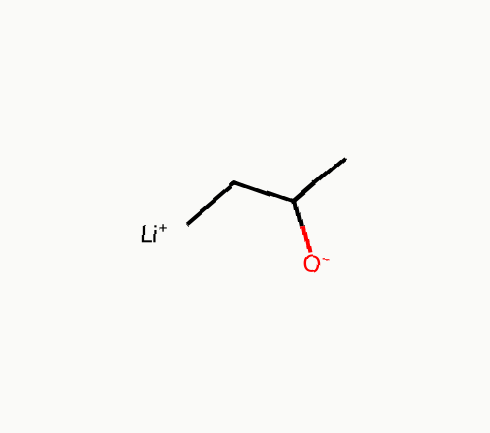 CCC(C)[O-].[Li+]